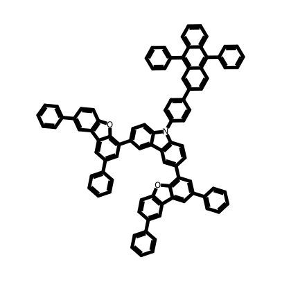 c1ccc(-c2ccc3oc4c(-c5ccc6c(c5)c5cc(-c7cc(-c8ccccc8)cc8c7oc7ccc(-c9ccccc9)cc78)ccc5n6-c5ccc(-c6ccc7c(-c8ccccc8)c8ccccc8c(-c8ccccc8)c7c6)cc5)cc(-c5ccccc5)cc4c3c2)cc1